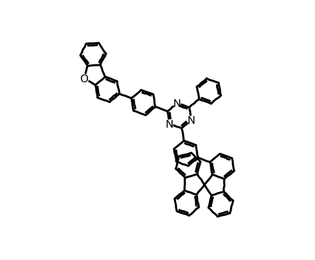 c1ccc(-c2nc(-c3ccc(-c4ccc5oc6ccccc6c5c4)cc3)nc(-c3cccc(-c4cccc5c4C4(c6ccccc6-c6ccccc64)c4ccccc4-5)c3)n2)cc1